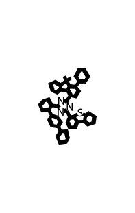 CC1(C)c2ccccc2-c2c(-c3nc(-c4ccccc4-c4ccc(-c5ccccc5)cc4)nc(-c4cccc5c4sc4ccccc45)n3)ccc(-c3ccccc3)c21